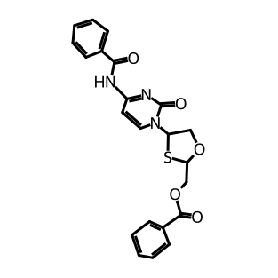 O=C(Nc1ccn(C2COC(COC(=O)c3ccccc3)S2)c(=O)n1)c1ccccc1